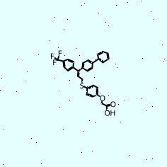 O=C(O)COc1ccc(SC/C=C(\c2ccc(-c3ccccc3)cc2)c2ccc(C(F)(F)F)cc2)cc1